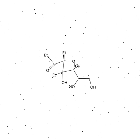 CCO[C@@](CC)(C(=O)CC)C(O)(CC)C(O)C(O)CO